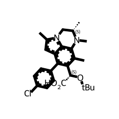 Cc1c([C@H](OC(C)(C)C)C(=O)O)c(-c2ccc(Cl)cc2)c2cc(C)n3c2c1N(C)[C@@H](C)C3